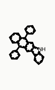 c1ccc(-c2c3ccccc3c(-c3ccccc3)c3cc4c(cc23)[nH]c2ccccc24)cc1